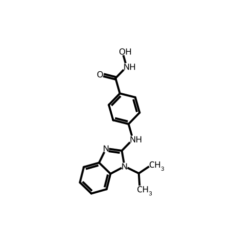 CC(C)n1c(Nc2ccc(C(=O)NO)cc2)nc2ccccc21